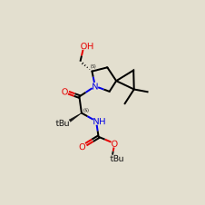 CC(C)(C)OC(=O)N[C@H](C(=O)N1CC2(C[C@H]1CO)CC2(C)C)C(C)(C)C